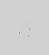 CCc1nc2c(N)nc3ccccc3c2n1CC(C)C